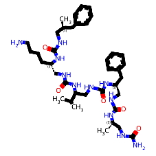 CC(C)C(CNC(=O)N[C@H](CNC(=O)N[C@@H](C)CNC(N)=O)Cc1ccccc1)NC(=O)NC[C@H](CCCCN)NC(=O)NC[C@@H](C)Cc1ccccc1